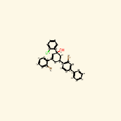 OC1(c2ccccc2Cl)C=C(c2ccccc2Br)CC(c2ccc(-c3ccccc3)cc2Br)C1